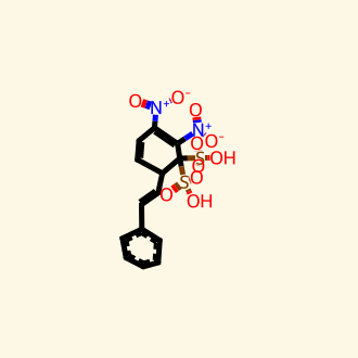 O=[N+]([O-])C1=C([N+](=O)[O-])C(S(=O)(=O)O)(S(=O)(=O)O)C(C=Cc2ccccc2)C=C1